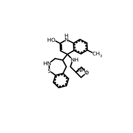 Cc1ccc2c(c1)C(NCC1(N)COC1)(C1CNSc3ccccc3C1)C=C(O)N2